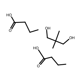 CC(C)(CO)CO.CCCC(=O)O.CCCC(=O)O